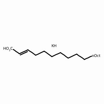 CCCCCCCCCCCCCCCC=CC(=O)O.[KH]